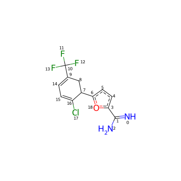 N=C(N)c1ccc(C2CC(C(F)(F)F)=CC=C2Cl)o1